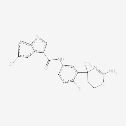 CC1(c2cc(NC(=O)c3csc4ccc(Cl)cc34)ccc2F)CCSC(N)=N1